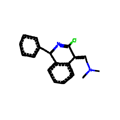 CN(C)/C=C1/C(Cl)=NC(c2ccccc2)c2ccccc21